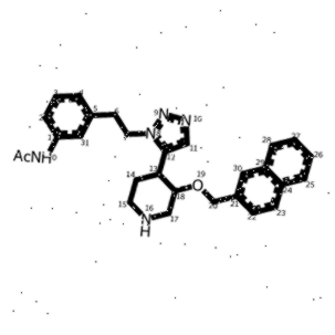 CC(=O)Nc1cccc(CCn2nncc2C2CCNCC2OCc2ccc3ccccc3c2)c1